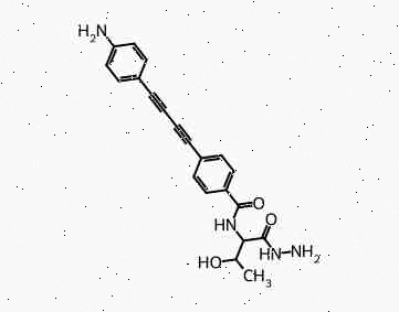 CC(O)C(NC(=O)c1ccc(C#CC#Cc2ccc(N)cc2)cc1)C(=O)NN